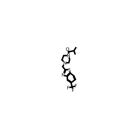 CC(C)C(=O)N1CCN(Cc2nc3cc(C(F)(F)F)ccc3s2)CC1